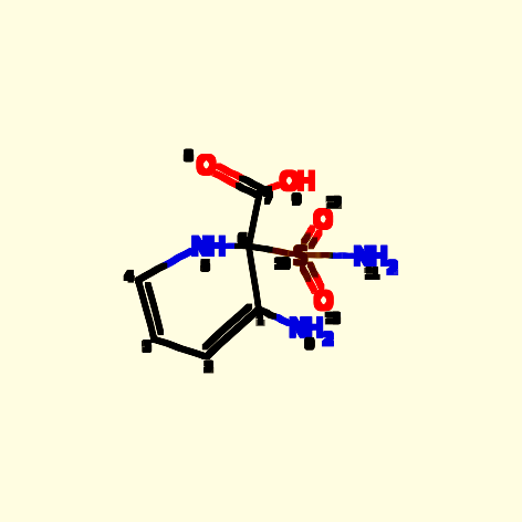 NC1=CC=CNC1(C(=O)O)S(N)(=O)=O